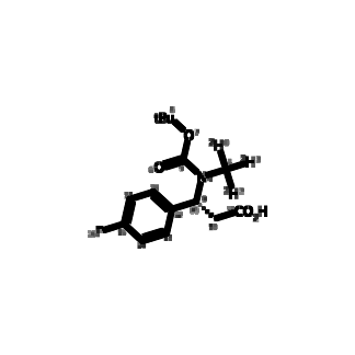 [2H]C([2H])([2H])N(C(=O)OC(C)(C)C)[C@H](CC(=O)O)c1ccc(F)cc1